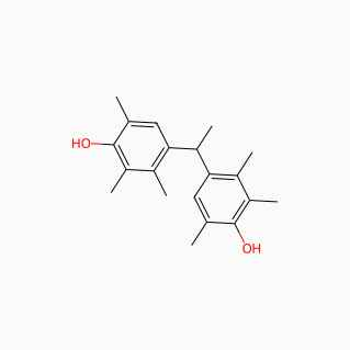 Cc1cc(C(C)c2cc(C)c(O)c(C)c2C)c(C)c(C)c1O